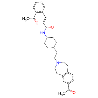 CC(=O)c1ccc2c(c1)CCN(CCC1CCC(NC(=O)C=Cc3ccccc3C(C)=O)CC1)CC2